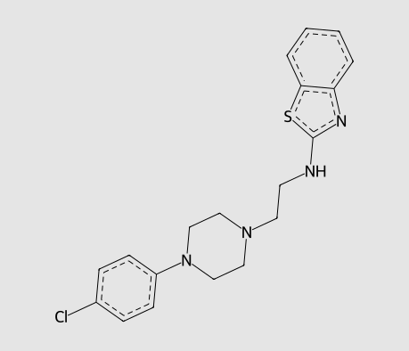 Clc1ccc(N2CCN(CCNc3nc4ccccc4s3)CC2)cc1